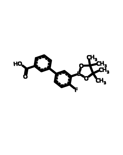 CC1(C)OB(c2cc(-c3cccc(C(=O)O)c3)ccc2F)OC1(C)C